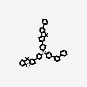 CC1(C)c2ccccc2Oc2ccc(-c3ccc(N(c4ccc(-c5cccc(-c6ccccc6)c5)cc4)c4ccc(-c5ccc6c(c5)C(C)(C)c5cc(-c7ccccc7)ccc5-6)cc4)cc3)cc21